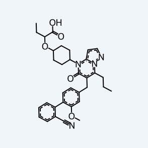 CCCc1c(Cc2ccc(-c3ccccc3C#N)c(OC)c2)c(=O)n(C2CCC(OC(CC)C(=O)O)CC2)c2ccnn12